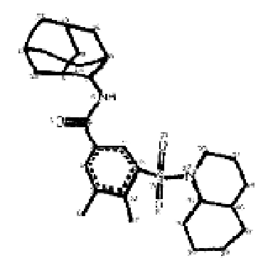 Cc1cc(C(=O)NC2C3CC4CC(C3)CC2C4)cc(S(=O)(=O)N2CCCC3CCCCC32)c1C